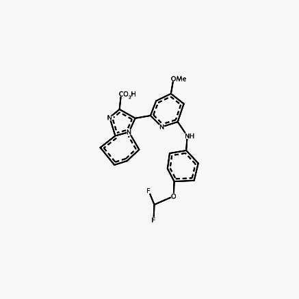 COc1cc(Nc2ccc(OC(F)F)cc2)nc(-c2c(C(=O)O)nc3ccccn23)c1